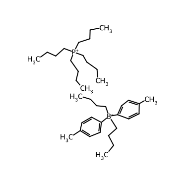 CCCC[B-](CCCC)(c1ccc(C)cc1)c1ccc(C)cc1.CCCC[P+](CCCC)(CCCC)CCCC